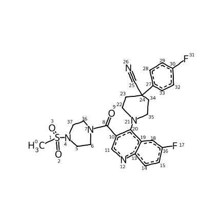 CS(=O)(=O)N1CCN(C(=O)c2cnc3ccc(F)cc3c2N2CCC(C#N)(c3ccc(F)cc3)CC2)CC1